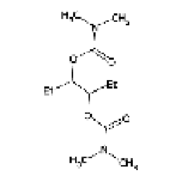 CCC(OC(=O)N(C)C)C(CC)OC(=O)N(C)C